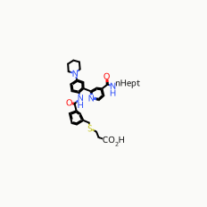 CCCCCCCNC(=O)c1ccnc(-c2cc(N3CCCCC3)ccc2NC(=O)c2cccc(CSCCC(=O)O)c2)c1